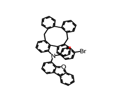 Brc1ccc(N(c2cccc3c2-c2ccccc2Cc2ccccc2-c2ccccc2C3)c2cccc3c2oc2ccccc23)cc1